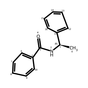 C[C@@H](NC(=O)c1ccccc1)c1ccccc1